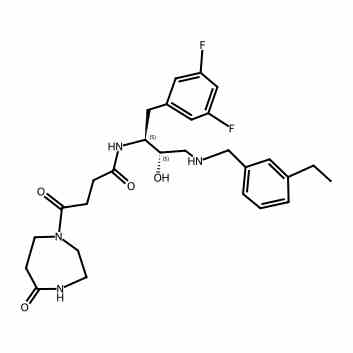 CCc1cccc(CNC[C@H](O)[C@H](Cc2cc(F)cc(F)c2)NC(=O)CCC(=O)N2CCNC(=O)CC2)c1